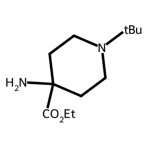 CCOC(=O)C1(N)CCN(C(C)(C)C)CC1